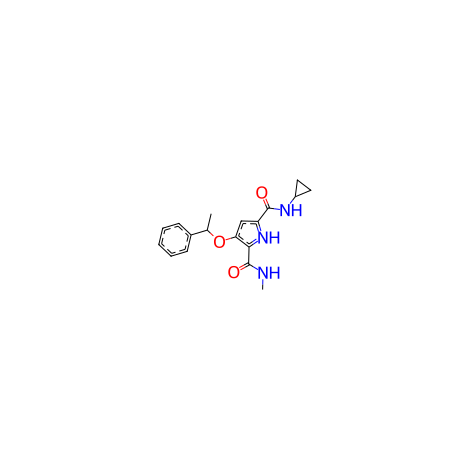 CNC(=O)c1[nH]c(C(=O)NC2CC2)cc1OC(C)c1ccccc1